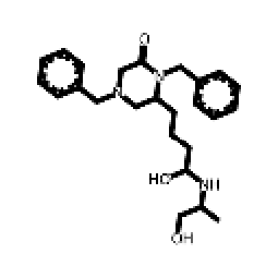 CC(CO)NC(O)CCCC1CN(Cc2ccccc2)CC(=O)N1Cc1ccccc1